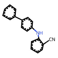 N#Cc1ccccc1Nc1ccc(-c2ccccc2)cc1